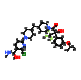 CNC(O)c1ccc(N2CCC(CC3CCN(C(=O)C(O)(c4cccc(OC(C)C)c4)C(F)(F)F)CC3)CC2)nc1Cl